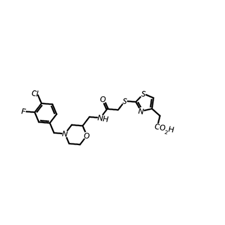 O=C(O)Cc1csc(SCC(=O)NCC2CN(Cc3ccc(Cl)c(F)c3)CCO2)n1